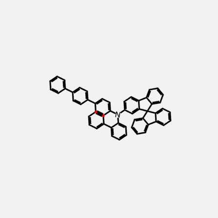 c1ccc(-c2ccc(-c3ccc(N(c4ccc5c(c4)C4(c6ccccc6-c6ccccc64)c4ccccc4-5)c4ccccc4-c4ccccc4)cc3)cc2)cc1